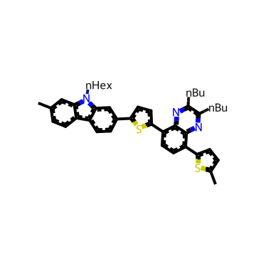 CCCCCCn1c2cc(C)ccc2c2ccc(-c3ccc(-c4ccc(-c5ccc(C)s5)c5nc(CCCC)c(CCCC)nc45)s3)cc21